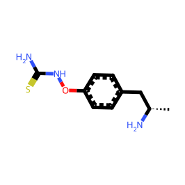 C[C@H](N)Cc1ccc(ONC(N)=S)cc1